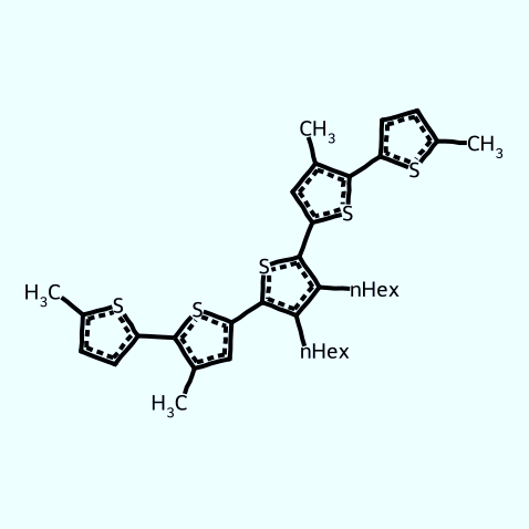 CCCCCCc1c(-c2cc(C)c(-c3ccc(C)s3)s2)sc(-c2cc(C)c(-c3ccc(C)s3)s2)c1CCCCCC